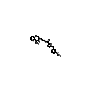 COc1cccc(Cn2cnc(C(=O)CCCC[C@H]3COc4cccnc4N(C)C3=S)n2)c1